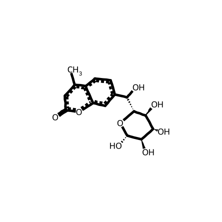 Cc1cc(=O)oc2cc(C(O)[C@H]3O[C@@H](O)[C@H](O)[C@@H](O)[C@@H]3O)ccc12